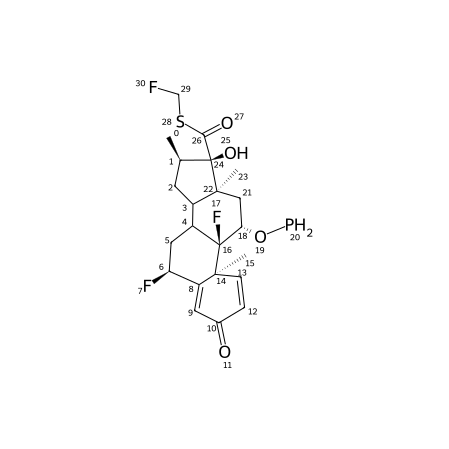 C[C@@H]1CC2C3C[C@H](F)C4=CC(=O)C=C[C@]4(C)[C@@]3(F)[C@@H](OP)C[C@]2(C)[C@@]1(O)C(=O)SCF